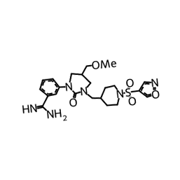 COCC1CN(CC2CCN(S(=O)(=O)c3cnoc3)CC2)C(=O)N(c2cccc(C(=N)N)c2)C1